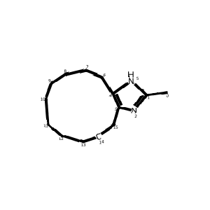 Cc1nc2c([nH]1)CCCCCCCCCC2